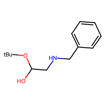 CC(C)(C)OC(O)CNCc1ccccc1